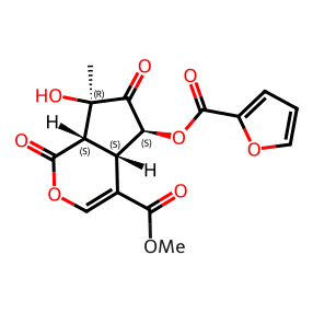 COC(=O)C1=COC(=O)[C@H]2[C@@H]1[C@H](OC(=O)c1ccco1)C(=O)[C@]2(C)O